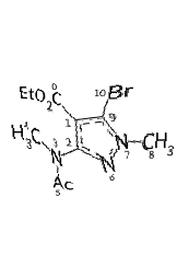 CCOC(=O)c1c(N(C)C(C)=O)nn(C)c1Br